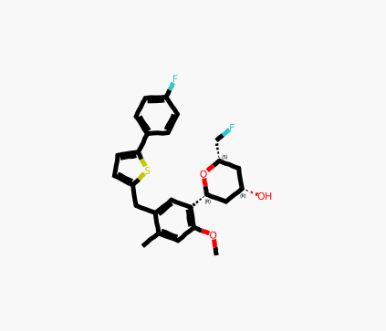 COc1cc(C)c(Cc2ccc(-c3ccc(F)cc3)s2)cc1[C@H]1C[C@@H](O)C[C@@H](CF)O1